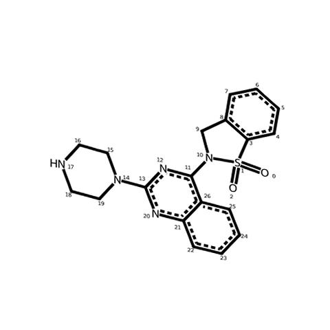 O=S1(=O)c2ccccc2CN1c1nc(N2CCNCC2)nc2ccccc12